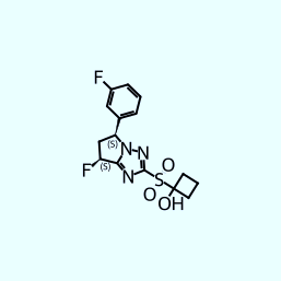 O=S(=O)(c1nc2n(n1)[C@H](c1cccc(F)c1)C[C@@H]2F)C1(O)CCC1